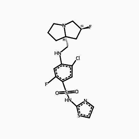 O=S(=O)(Nc1nccs1)c1cc(Cl)c(NC[C@]23CCCN2C[C@@H](F)C3)cc1F